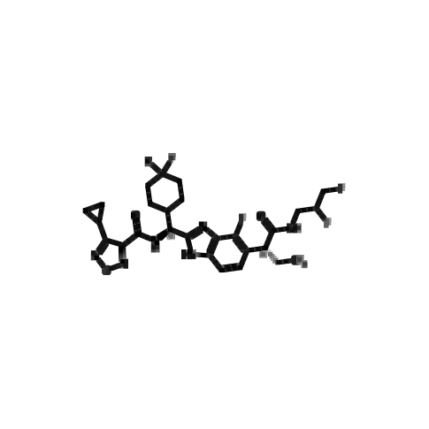 O=C(N[C@H](c1nc2c(F)c([C@@H](CC(F)(F)F)C(=O)NCC(F)CF)ccc2[nH]1)C1CCC(F)(F)CC1)c1nonc1C1CC1